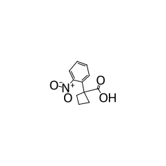 O=C(O)C1(c2ccccc2[N+](=O)[O-])CCC1